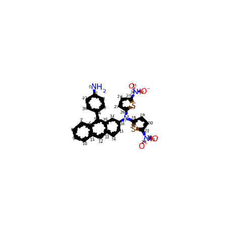 Nc1ccc(-c2c3ccccc3cc3ccc(N(c4ccc([N+](=O)[O-])s4)c4ccc([N+](=O)[O-])s4)cc23)cc1